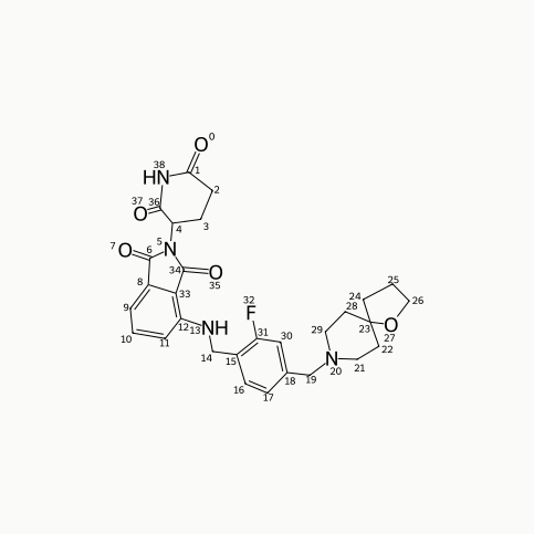 O=C1CCC(N2C(=O)c3cccc(NCc4ccc(CN5CCC6(CCCO6)CC5)cc4F)c3C2=O)C(=O)N1